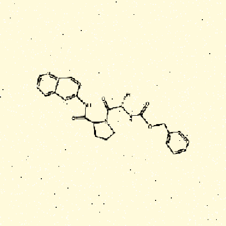 CC(C)[C@H](NC(=O)OCc1ccccc1)C(=O)N1CCC[C@H]1C(=O)Nc1ccc2ncccc2c1